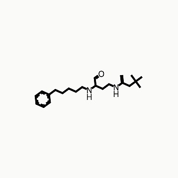 C=C(CC(C)(C)C)NCCC(C=O)NCCCCCc1ccccc1